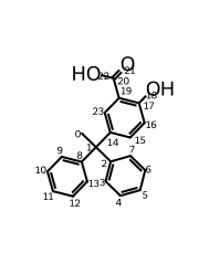 CC(c1ccccc1)(c1ccccc1)c1ccc(O)c(C(=O)O)c1